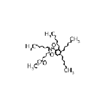 CCCCCCc1ccc(C(=O)N(CCCCCC)C(=O)CCCC(=O)OCC)c(CCCCCC)c1CCCCCC